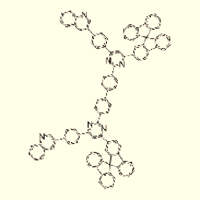 c1ccc2c(c1)-c1ccccc1C21c2ccccc2-c2ccc(-c3cc(-c4ccc(-c5cnc6ccccc6c5)cc4)nc(-c4ccc(-c5ccc(-c6nc(-c7ccc(-c8cnc9ccccc9c8)cc7)cc(-c7ccc8c(c7)C7(c9ccccc9-c9ccccc97)c7ccccc7-8)n6)cc5)cc4)n3)cc21